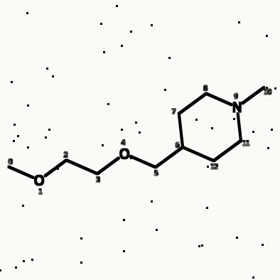 COCCOCC1CCN(C)CC1